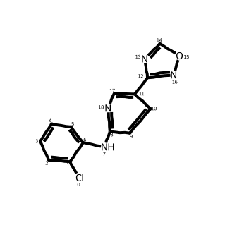 Clc1ccccc1Nc1ccc(-c2ncon2)cn1